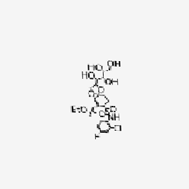 CCOC(=O)C1=CC2(CCC1S(=O)(=O)Nc1ccc(F)cc1Cl)OCC(C(O)C(O)C(O)CO)O2